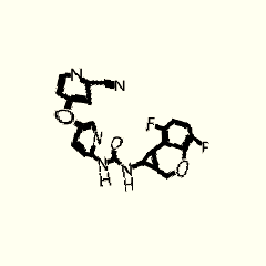 N#Cc1cc(Oc2ccc(NC(=O)NC3C4COc5c(F)ccc(F)c5C43)nc2)ccn1